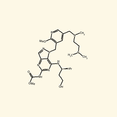 CCC[C@@H](CCO)Nc1nc(NC(=O)OC)nc2cnn(Cc3cc(CN(C)CCN(C)C)cnc3OC)c12